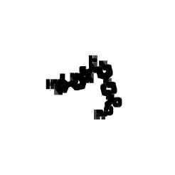 Cc1[nH]ncc1-c1ccc2nc(Nc3cc(N4CCN(C(=O)COC(C)C)CC4)ccn3)sc2n1